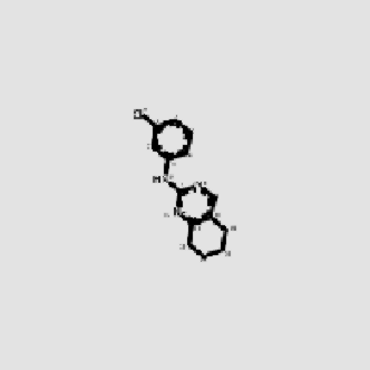 Clc1cccc(Nc2ncc3c(n2)CCCC3)c1